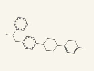 C[C@H](Cc1ccc(C2CCC(C3=CC=C(O)CC3)CC2)cc1)c1ccccc1